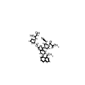 C=Cc1cccc2cccc(N3CCc4c(nc(OC[C@@H]5CCCN5CC(O)CO)nc4N4CCN(C(=O)C(=C)F)[C@@H](CC#N)C4)C3)c12